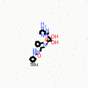 CC(C)(C)c1ccc(NC(=O)NCCCN(Cc2ccccc2)C[C@H]2O[C@@H](n3cnc4c(N)ccnc43)[C@H](O)[C@@H]2O)cc1